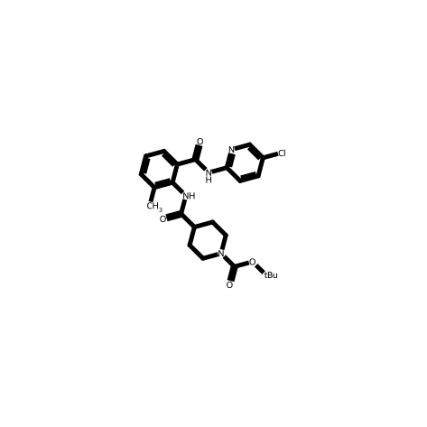 Cc1cccc(C(=O)Nc2ccc(Cl)cn2)c1NC(=O)C1CCN(C(=O)OC(C)(C)C)CC1